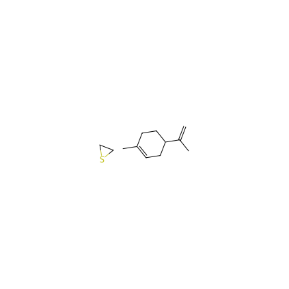 C1CS1.C=C(C)C1CC=C(C)CC1